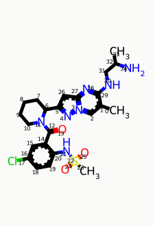 Cc1cn2nc(C3CCCCN3C(=O)c3cc(Cl)ccc3NS(C)(=O)=O)cc2nc1NCC(C)N